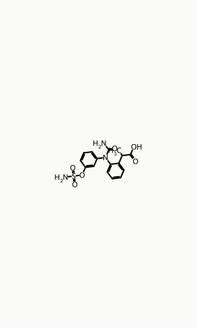 CC(C(=O)O)c1ccccc1N(C(N)=O)c1cccc(OS(N)(=O)=O)c1